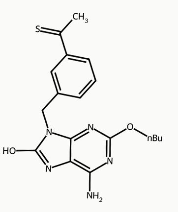 CCCCOc1nc(N)c2nc(O)n(Cc3cccc(C(C)=S)c3)c2n1